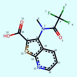 CN(C(=O)C(F)(F)F)c1c(C(=O)O)sc2ncccc12